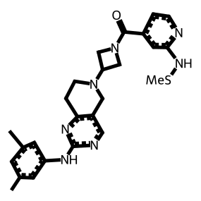 CSNc1cc(C(=O)N2CC(N3CCc4nc(Nc5cc(C)cc(C)c5)ncc4C3)C2)ccn1